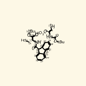 CC(C)(C)OC(=O)N[C@H](CS)C(=O)O.CC(C)(C)OC(=O)[C@@H](CS)NC(=O)C1c2ccccc2-c2ccccc21